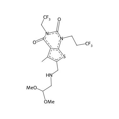 COC(CNCc1sc2c(c1C)c(=O)n(CC(F)(F)F)c(=O)n2CCC(F)(F)F)OC